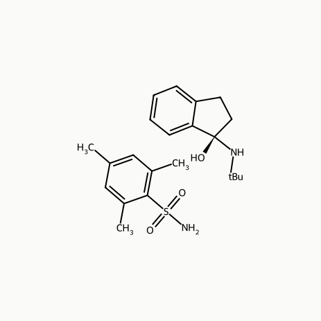 CC(C)(C)N[C@@]1(O)CCc2ccccc21.Cc1cc(C)c(S(N)(=O)=O)c(C)c1